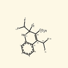 CCC1(C(F)F)Nc2ccccc2C(C(F)F)=C1C(=O)O